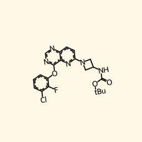 CC(C)(C)OC(=O)NC1CN(c2ccc3ncnc(Oc4cccc(Cl)c4F)c3n2)C1